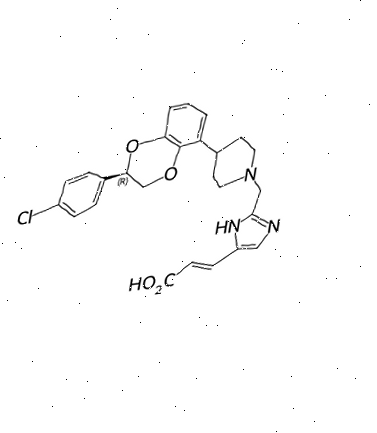 O=C(O)C=Cc1cnc(CN2CCC(c3cccc4c3OC[C@@H](c3ccc(Cl)cc3)O4)CC2)[nH]1